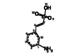 Nc1cccc(/C=C/S(=O)(=O)O)c1